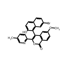 COc1ccc2c(=O)oc(-c3ccc(C)cn3)c(-c3c(O)ccc4ccc(Br)cc34)c2c1